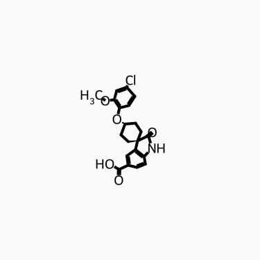 COc1cc(Cl)ccc1O[C@H]1CC[C@@]2(CC1)C(=O)Nc1ccc(C(=O)O)cc12